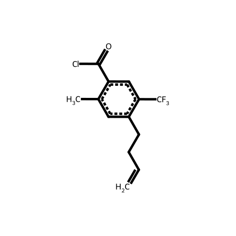 C=CCCc1cc(C)c(C(=O)Cl)cc1C(F)(F)F